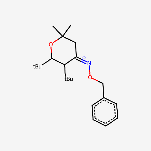 CC1(C)C/C(=N/OCc2ccccc2)C(C(C)(C)C)C(C(C)(C)C)O1